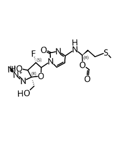 CSCC[C@H](Nc1ccn(C2O[C@@](CO)(N=[N+]=[N-])C(O)[C@@H]2F)c(=O)n1)OC=O